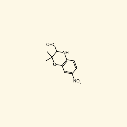 CC1(C)Oc2cc([N+](=O)[O-])ccc2NC1C=O